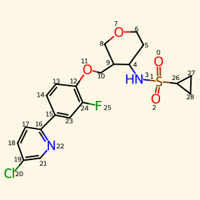 O=S(=O)(NC1CCOCC1COc1ccc(-c2ccc(Cl)cn2)cc1F)C1CC1